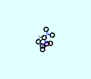 c1ccc(N(c2ccccc2)c2cc(N(c3ccccc3)c3ccccc3)c3c(c2)sc2cccc(-n4c5ccccc5c5ccccc54)c23)cc1